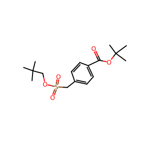 CC(C)(C)COS(=O)(=O)Cc1ccc(C(=O)OC(C)(C)C)cc1